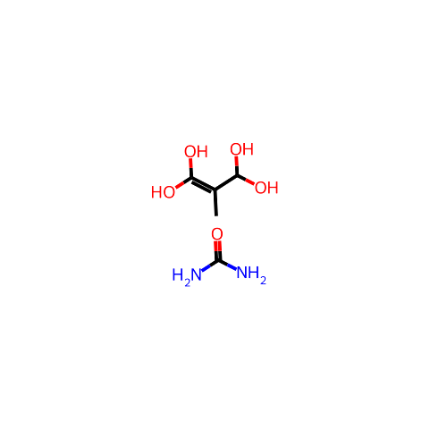 CC(=C(O)O)C(O)O.NC(N)=O